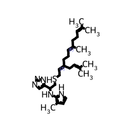 CC(C)=CCC/C(C)=C/CC/C(=C/CSCC(Nc1[nH]ccc1C)c1cnn[nH]1)CC=C(C)C